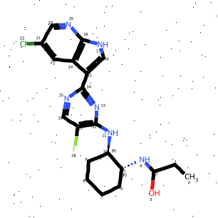 CCC(O)N[C@@H]1CCCC[C@H]1Nc1nc(-c2c[nH]c3ncc(Cl)cc23)ncc1F